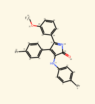 CC(C)c1ccc(NC2=C(c3ccc(C(C)C)cc3)C(c3cccc(OC(F)(F)F)c3)=NC2=O)cc1